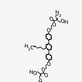 C=CCCCc1cc(-c2ccc(OCCOC(=O)C(=C)CO)cc2)ccc1-c1ccc(OCCOC(=O)C(=C)CO)cc1